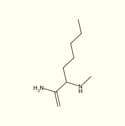 C=C(N)C(CCCCC)NC